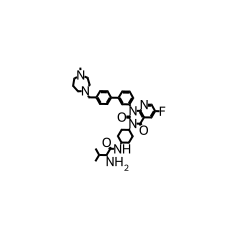 CC(C)[C@@H](N)C(=O)N[C@H]1CC[C@@H](n2c(=O)c3cc(F)cnc3n(-c3cccc(-c4ccc(CN5CCCN(C)CC5)cc4)c3)c2=O)CC1